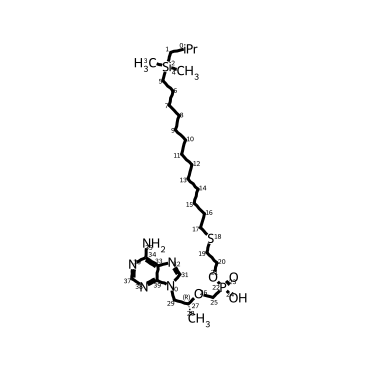 CC(C)C[Si](C)(C)CCCCCCCCCCCCCSCCOP(=O)(O)CO[C@H](C)Cn1cnc2c(N)ncnc21